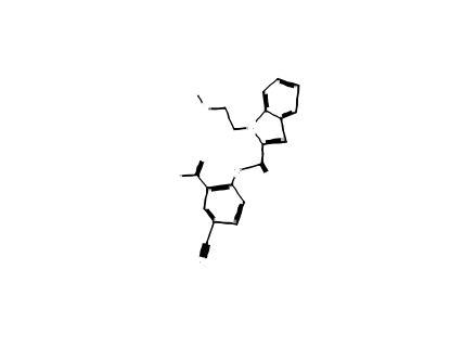 COCCn1c(C(=O)Nc2ccc(C#N)cc2C(=O)O)cc2ccccc21